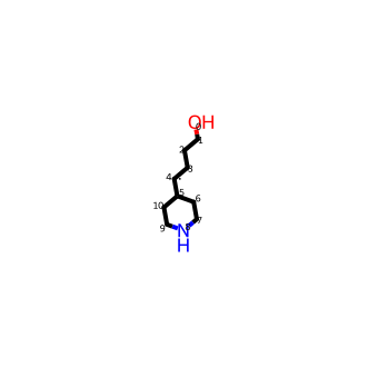 OCCC[CH]C1CCNCC1